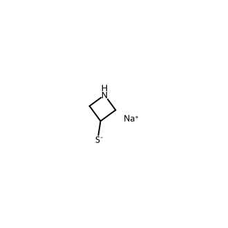 [Na+].[S-]C1CNC1